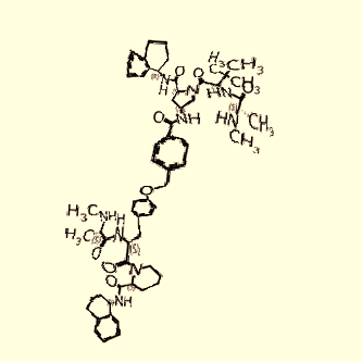 CN[C@@H](C)C(=O)N[C@@H](Cc1ccc(OCc2ccc(C(=O)N[C@H]3C[C@@H](C(=O)N[C@@H]4CCCc5ccccc54)N(C(=O)[C@@H](NC(=O)[C@H](C)NC)C(C)(C)C)C3)cc2)cc1)C(=O)N1CCCC[C@H]1C(=O)N[C@@H]1CCCc2ccccc21